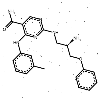 Cc1cccc(Nc2nc(NC[C@@H](N)COc3ccccc3)ncc2C(N)=O)c1